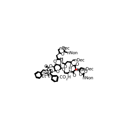 CCCCCCCCCCC[C@H](CC(=O)N[C@H]1[C@H](OC[C@H](NC(=O)C[C@@H](CCCCCCCCCCC)OC(=O)CCCCCCCCC)C(=O)O)O[C@H](CO[Si](CC)(CC)CC)[C@@H](OP(=O)(OCc2ccccc2)OCc2ccccc2)[C@@H]1OC(=O)C[C@@H](CCCCCCCCCCC)OC(=O)CCCCCCCCC)OC(=O)CCCCCCCCC